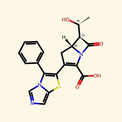 C[C@@H](O)[C@H]1C(=O)N2C(C(=O)O)=C(c3sc4cncn4c3-c3ccccc3)C[C@H]12